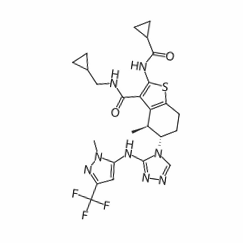 C[C@H]1c2c(sc(NC(=O)C3CC3)c2C(=O)NCC2CC2)CC[C@@H]1n1cnnc1Nc1cc(C(F)(F)F)nn1C